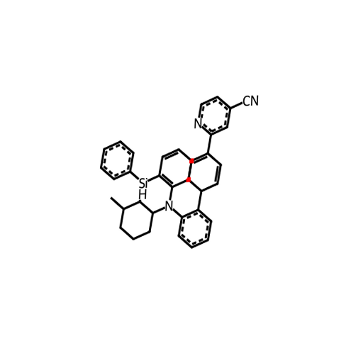 CC1CCCC2C1[SiH](c1ccccc1)C1=C(CCC=C1)N2c1ccccc1C1C=CC(c2cc(C#N)ccn2)=CC1